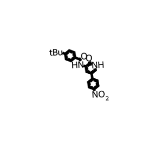 CC(C)(C)c1ccc(C(=O)Nc2cc(-c3ccc([N+](=O)[O-])cc3)c[nH]c2=O)cc1